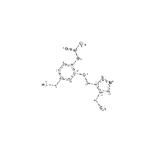 CCc1ccc(OC(C)=O)c(OCc2cnnn2CC)c1